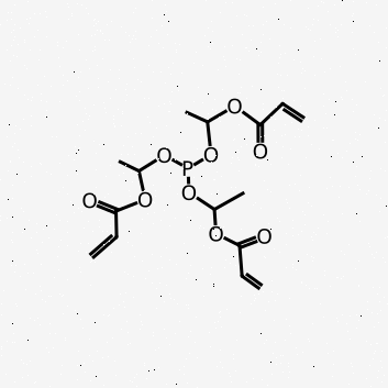 C=CC(=O)OC(C)OP(OC(C)OC(=O)C=C)OC(C)OC(=O)C=C